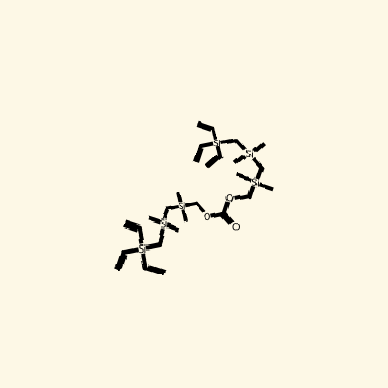 C=C[Si](C=C)(C=C)C[Si](C)(C)C[Si](C)(C)COC(=O)OC[Si](C)(C)C[Si](C)(C)C[Si](C=C)(C=C)C=C